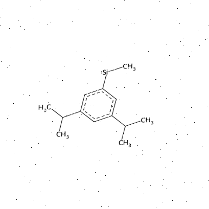 C[Si]c1cc(C(C)C)cc(C(C)C)c1